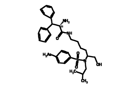 CC(C)CN(C(CO)CCCCNC(=O)[C@@H](N)C(c1ccccc1)c1ccccc1)S(=O)(=O)c1ccc([AsH2])cc1